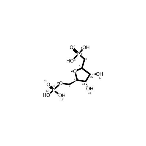 O=P(O)(O)CC1O[C@H](COP(=O)(O)O)[C@@H](O)[C@H]1O